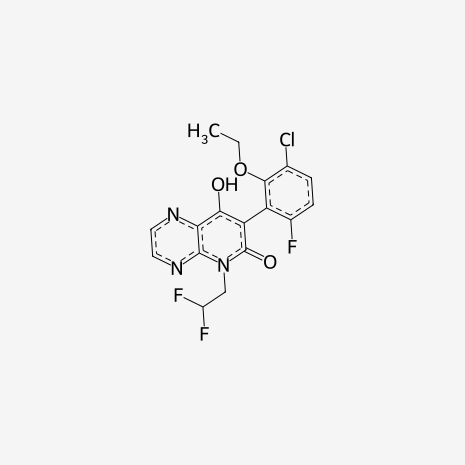 CCOc1c(Cl)ccc(F)c1-c1c(O)c2nccnc2n(CC(F)F)c1=O